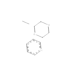 C1CNCCN1.CC.c1ccncc1